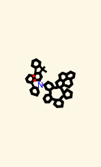 CC1(C)c2ccccc2-c2ccc(N(c3ccc4c(c3)c3ccccc3c3ccccc3c3ccccc3c3c4cc4ccc5cccc6ccc3c4c56)c3ccccc3-c3ccccc3)cc21